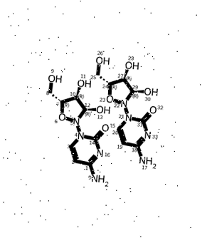 Nc1ccn(N2O[C@H](CO)[C@@H](O)[C@H]2O)c(=O)n1.Nc1ccn(N2O[C@H](CO)[C@@H](O)[C@H]2O)c(=O)n1